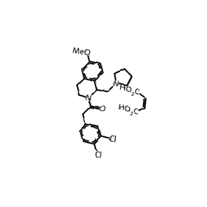 COc1ccc2c(c1)CCN(C(=O)Cc1ccc(Cl)c(Cl)c1)C2CN1CCCC1.O=C(O)/C=C\C(=O)O